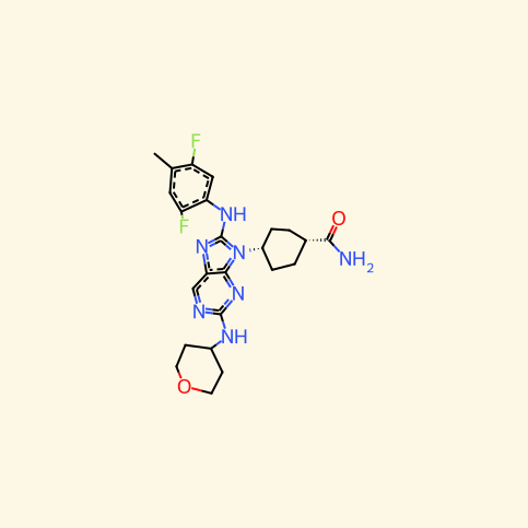 Cc1cc(F)c(Nc2nc3cnc(NC4CCOCC4)nc3n2[C@H]2CC[C@@H](C(N)=O)CC2)cc1F